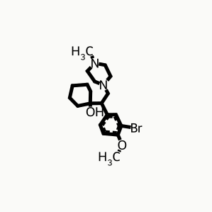 COc1ccc(C(CN2CCN(C)CC2)C2(O)CCCCC2)cc1Br